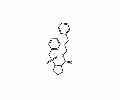 O=C(SCCCc1ccccc1)C1CCCN1S(=O)(=O)Cc1ccccc1